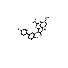 COC1CCC2(CC1)NC(=O)C(c1cc(-c3ccc(F)cc3)ccc1Cl)=C2OC(=O)N(C)C